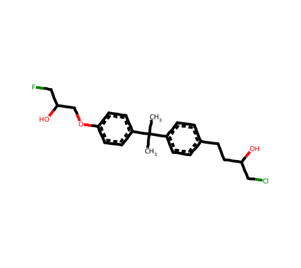 CC(C)(c1ccc(CCC(O)CCl)cc1)c1ccc(OCC(O)CF)cc1